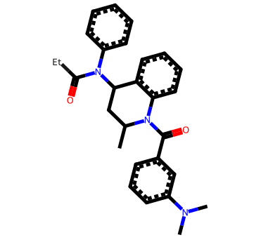 CCC(=O)N(c1ccccc1)C1CC(C)N(C(=O)c2cccc(N(C)C)c2)c2ccccc21